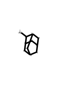 [Al][CH]1C2CC3CC(C2)CC1C3